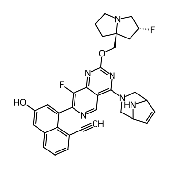 C#Cc1cccc2cc(O)cc(-c3ncc4c(N5CC6C=CC(C5)N6)nc(OC[C@@]56CCCN5C[C@H](F)C6)nc4c3F)c12